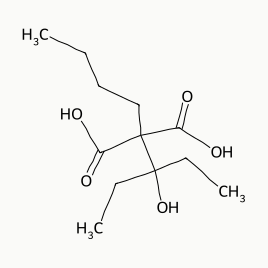 CCCCC(C(=O)O)(C(=O)O)C(O)(CC)CC